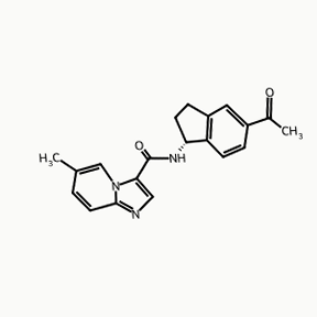 CC(=O)c1ccc2c(c1)CC[C@H]2NC(=O)c1cnc2ccc(C)cn12